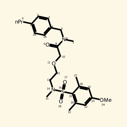 CCCc1ccc(CN(C)C(=O)COCCN(C)S(=O)(=O)c2c(C)cc(OC)cc2C)cc1